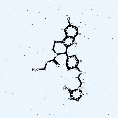 CCOC(=O)N1CCc2c([nH]c3ccc(Cl)cc23)C1c1ccc(OCCn2ncsc2=N)cc1